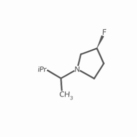 CC(C)C(C)N1CC[C@H](F)C1